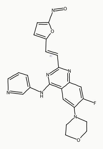 O=Nc1ccc(/C=C/c2nc(Nc3cccnc3)c3cc(N4CCOCC4)c(F)cc3n2)o1